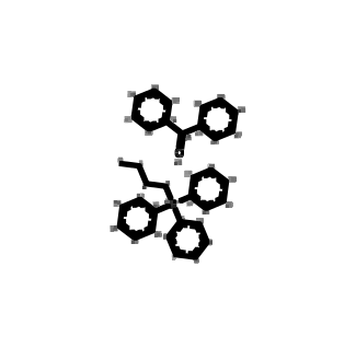 CCCC[B-](c1ccccc1)(c1ccccc1)c1ccccc1.O=C(c1ccccc1)c1ccccc1